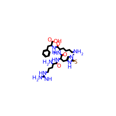 Cn1cc(CC(NC(=O)C(N)CCCNC(=N)N)C(=O)NC(CCCCN)C(=O)NC(Cc2ccccc2)C(=O)O)[nH]c1=S